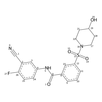 N#Cc1cc(NC(=O)c2cccc(S(=O)(=O)N3CCC(O)CC3)c2)ccc1F